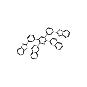 c1cc(-c2nc3ccccc3s2)cc(-c2cc(-c3cccc(-c4nc5ccccc5s4)c3)c(-c3ccc4ccccc4c3)nc2-c2ccc3ccccc3c2)c1